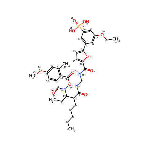 CCCCCC(C(=O)NCNC(=O)c1ccc(-c2cc(OCC)cc(P(=O)(O)O)c2)o1)[C@@H](CC)N(C=O)OC(=O)c1ccc(OC)cc1C